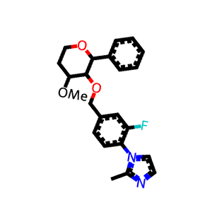 COC1CCOC(c2ccccc2)C1OCc1ccc(-n2ccnc2C)c(F)c1